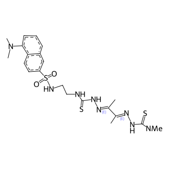 CNC(=S)N/N=C(C)/C(C)=N/NC(=S)NCCNS(=O)(=O)c1ccc2c(N(C)C)cccc2c1